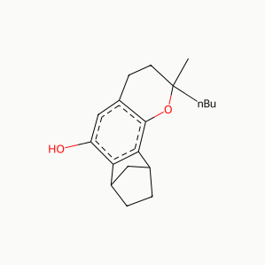 CCCCC1(C)CCc2cc(O)c3c(c2O1)C1CCC3C1